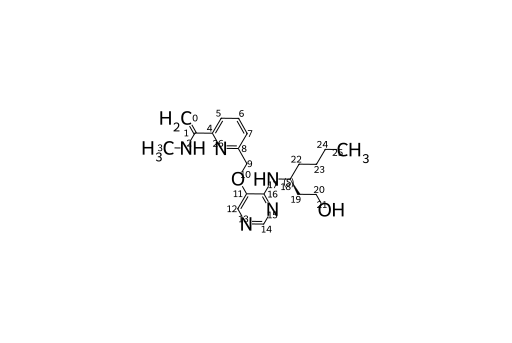 C=C(NC)c1cccc(COc2cncnc2N[C@H](CCO)CCCC)n1